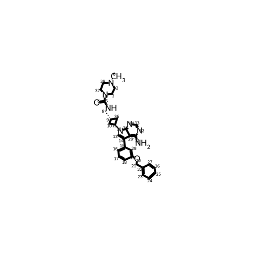 CN1CCN(C(=O)NC[C@H]2C[C@H](n3cc(-c4cccc(OCc5ccccc5)c4)c4c(N)ncnc43)C2)CC1